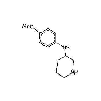 COc1ccc(NC2CCCNC2)cc1